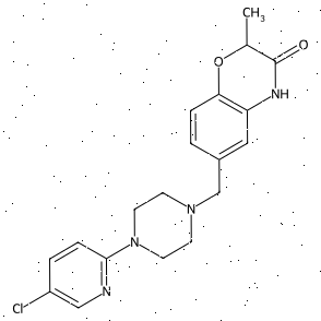 CC1Oc2ccc(CN3CCN(c4ccc(Cl)cn4)CC3)cc2NC1=O